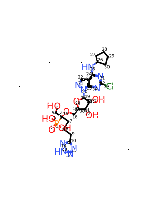 O=P(O)(O)C(CO)(CCCc1nn[nH]n1)OC[C@H]1O[C@@H](n2ncc3c(NC4CCCC4)nc(Cl)nc32)[C@H](O)[C@@H]1O